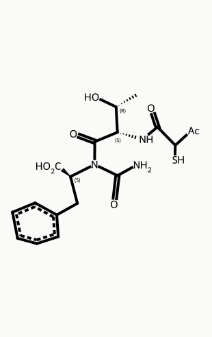 CC(=O)C(S)C(=O)N[C@H](C(=O)N(C(N)=O)[C@@H](Cc1ccccc1)C(=O)O)[C@@H](C)O